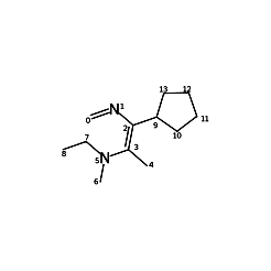 C=N/C(=C(/C)N(C)CC)C1CCCC1